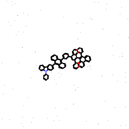 c1ccc(-c2cc(-c3cccc(-c4c5ccccc5c(-c5ccc6c(c5)c5ccccc5n6-c5ccccc5)c5ccccc45)c3)c3ccccc3c2-c2c(-c3ccccc3)c3ccccc3c3ccccc23)cc1